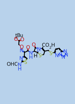 CC(C)(C)OC(=O)CO/N=C(\C(=O)NC1C(=O)N2C(C(=O)O)=C(CSc3ccc4nnnn4n3)CS[C@H]12)c1csc(NC=O)n1